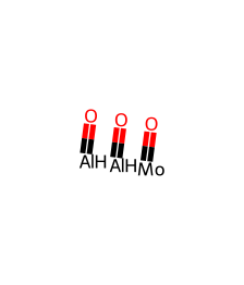 [O]=[AlH].[O]=[AlH].[O]=[Mo]